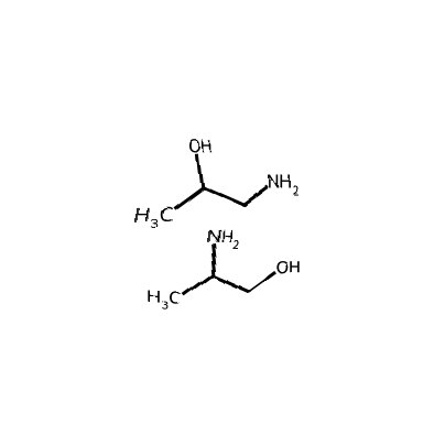 CC(N)CO.CC(O)CN